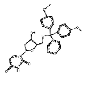 COc1ccc(C(OC[C@H]2O[C@@H](n3ccc(=O)[nH]c3=O)C[C@H]2O)(c2ccccc2)c2ccc(OC)cc2)cc1